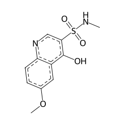 CNS(=O)(=O)c1cnc2ccc(OC)cc2c1O